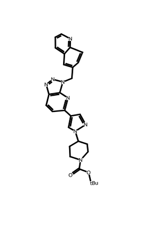 CC(C)(C)OC(=O)N1CCC(n2cc(-c3ccc4nnn(Cc5ccc6ncccc6c5)c4n3)cn2)CC1